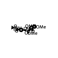 COC(=O)N[C@](C#Cc1ccc(C(=O)NS(=O)(=O)C2CC2)cc1)(CN1CCc2ccc(OC)cc2C1=O)C(=O)OC